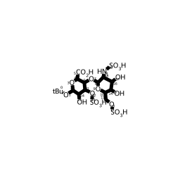 CC(C)(C)OC1OC(C(=O)O)C(OC2OC(COS(=O)(=O)O)C(O)C(O)C2NS(=O)(=O)O)C(OS(=O)(=O)O)C1O